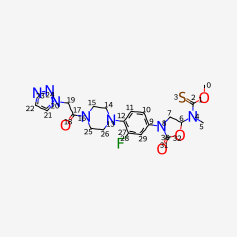 COC(=S)N(C)C1CN(c2ccc(N3CCN(C(=O)Cn4ccnn4)CC3)c(F)c2)C(=O)O1